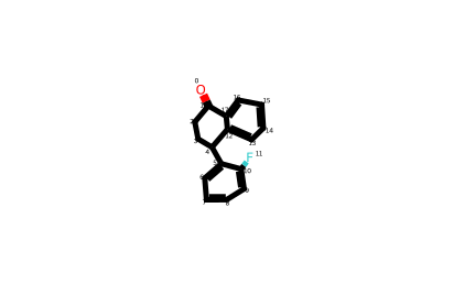 O=C1CCC(c2ccccc2F)c2ccccc21